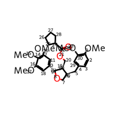 COc1ccc(C[C@H]2CO[C@H](c3cc(OC)c(OC)c(OC)c3)[C@H]2COC(=O)C2CCCC2)cc1OC